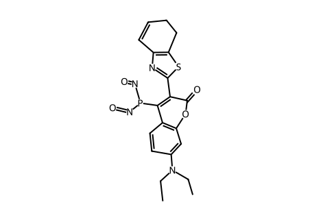 CCN(CC)c1ccc2c(P(N=O)N=O)c(-c3nc4c(s3)CCC=C4)c(=O)oc2c1